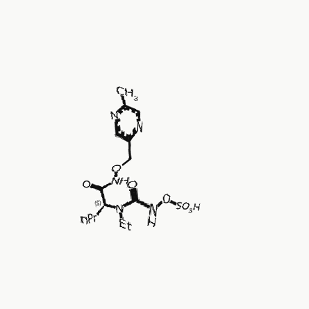 CCC[C@@H](C(=O)NOCc1cnc(C)cn1)N(CC)C(=O)NOS(=O)(=O)O